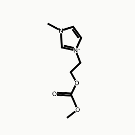 COC(=O)OCC[n+]1ccn(C)c1